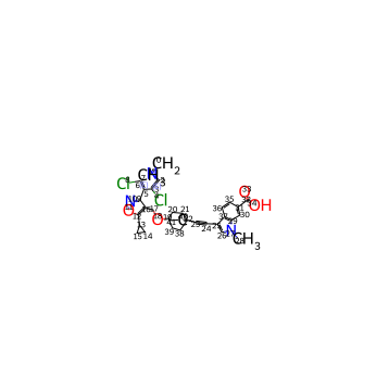 C=N/C=C(Cl)\C(=C(/C)Cl)c1noc(C2CC2)c1COC12CCC(C#Cc3cn(C)c4cc(C(=O)O)ccc34)(CC1)CC2